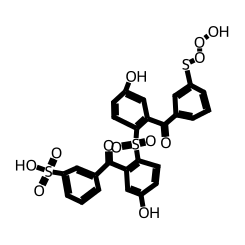 O=C(c1cccc(SOOO)c1)c1cc(O)ccc1S(=O)(=O)c1ccc(O)cc1C(=O)c1cccc(S(=O)(=O)O)c1